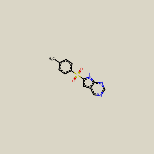 Cc1ccc(S(=O)(=O)c2cc3[c]ncnc3[nH]2)cc1